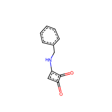 O=c1cc(NCc2ccccc2)c1=O